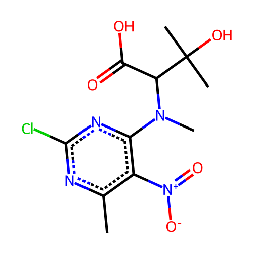 Cc1nc(Cl)nc(N(C)C(C(=O)O)C(C)(C)O)c1[N+](=O)[O-]